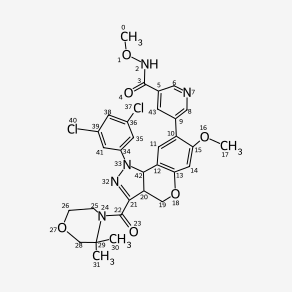 CONC(=O)c1cncc(-c2cc3c(cc2OC)OCC2C(C(=O)N4CCOCC4(C)C)=NN(c4cc(Cl)cc(Cl)c4)C32)c1